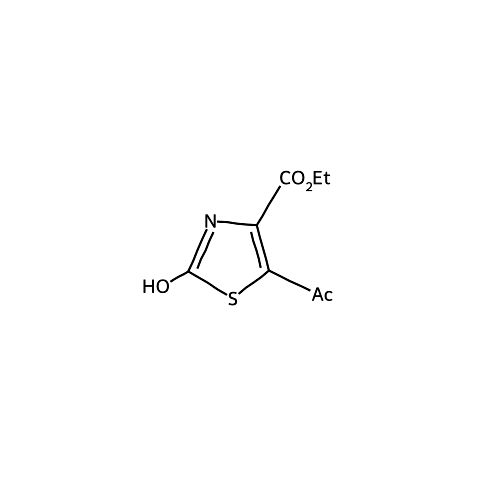 CCOC(=O)c1nc(O)sc1C(C)=O